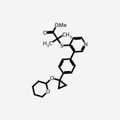 COC(=O)C(C)(C)Sc1ccncc1-c1ccc(C2(OC3CCCCO3)CC2)cc1